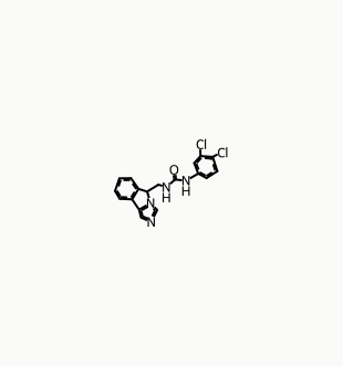 O=C(NCC1c2ccccc2-c2cncn21)Nc1ccc(Cl)c(Cl)c1